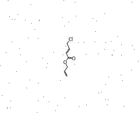 C=CCOC(=O)C=CCCl